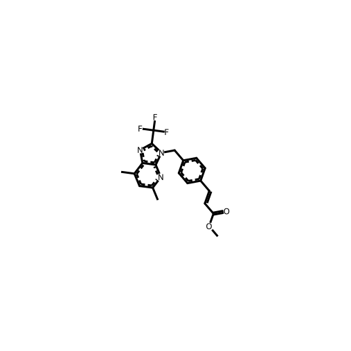 COC(=O)C=Cc1ccc(Cn2c(C(F)(F)F)nc3c(C)cc(C)nc32)cc1